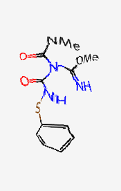 CNC(=O)N(C(=N)OC)C(=O)NSc1ccccc1